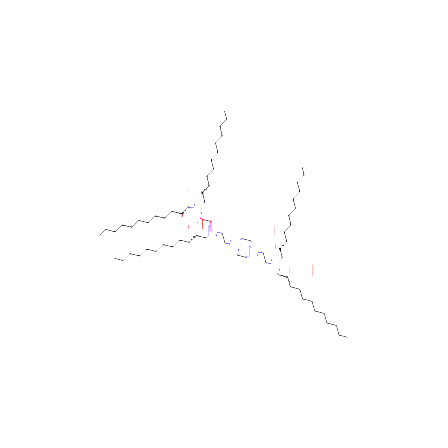 CCCCCCCCCC[C@@H](O)CN(CCN1CCN(CCN(C[C@H](O)CCCCCCCCCC)C[C@H](O)CCCCCCCCCC)CC1)CCN(C[C@H](O)CCCCCCCCCC)C[C@H](O)CCCCCCCCCC